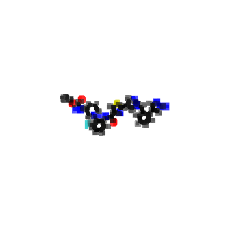 CC(C)(C)OC(=O)N[C@@H]1CCCN(c2c(F)cccc2NC(=O)c2csc(-c3cnn(Cc4ccccc4-c4cn[nH]c4)c3)n2)C1